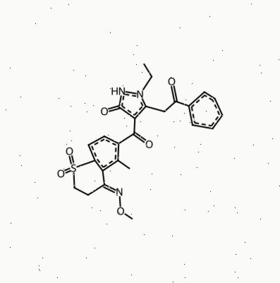 CCn1[nH]c(=O)c(C(=O)c2ccc3c(c2C)C(=NOC)CCS3(=O)=O)c1CC(=O)c1ccccc1